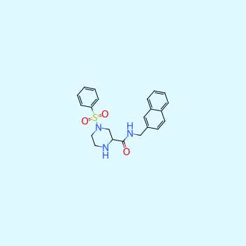 O=C(NCc1ccc2ccccc2c1)C1CN(S(=O)(=O)c2ccccc2)CCN1